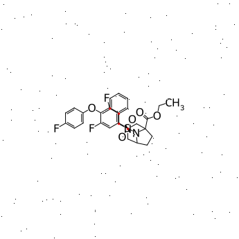 CCOC(=O)C12CCC(CN(Cc3ccccc3)C1)N2S(=O)(=O)c1cc(F)c(Oc2ccc(F)cc2)c(F)c1